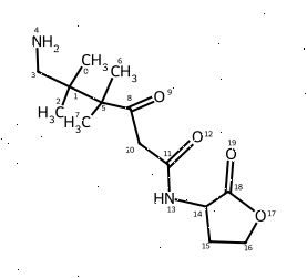 CC(C)(CN)C(C)(C)C(=O)CC(=O)NC1CCOC1=O